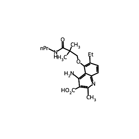 CCCNC(=O)C(C)(C)COc1c(CC)ccc2nc(C)c(C(=O)O)c(N)c12